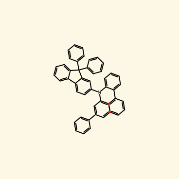 c1ccc(-c2cccc(N(c3ccc4c(c3)C(c3ccccc3)(c3ccccc3)c3ccccc3-4)c3ccccc3-c3ccccc3)c2)cc1